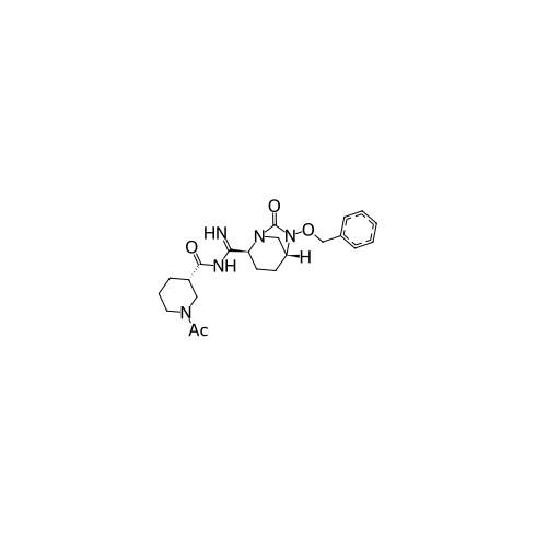 CC(=O)N1CCC[C@H](C(=O)NC(=N)[C@@H]2CC[C@@H]3CN2C(=O)N3OCc2ccccc2)C1